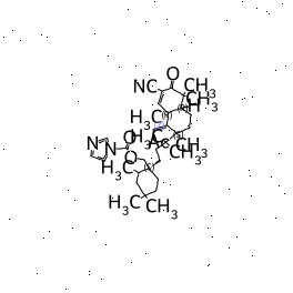 CC(=O)/C=C1/[C@@]2(C)C=C(C#N)C(=O)C(C)(C)[C@@H]2CC[C@@]1(C)C(C)(C)CC[C@@]1(COC(=O)n2ccnc2)CCC(C)(C)CC1C